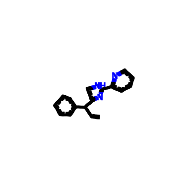 C=CC(c1ccccc1)c1c[nH]c(-c2ccccn2)n1